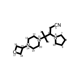 CC(C)(C(CC#N)N1CCCC1)N1CCN(C2COC2)CC1